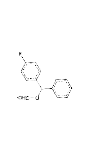 O=[C]OC(c1ccccc1)c1ccc(F)cc1